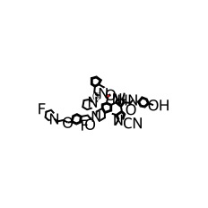 Cc1c(-c2c(C(=O)Nc3ccc(O)cc3)c(C)n(C)c2-c2cc3c(cc2C(=O)N2Cc4ccccc4C[C@H]2CN2CCCCC2)CN(C(=O)Cc2ccc(OCCN4CCC(F)CC4)cc2F)CC3)cc(C#N)n1C